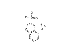 C=O.O=S(=O)([O-])c1ccc2ccccc2c1.[K+]